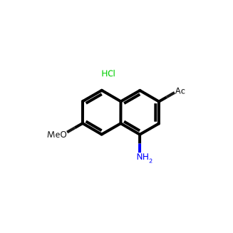 COc1ccc2cc(C(C)=O)cc(N)c2c1.Cl